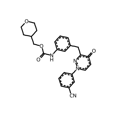 N#Cc1cccc(-n2ccc(=O)c(Cc3cccc(NC(=O)OCC4CCOCC4)c3)n2)c1